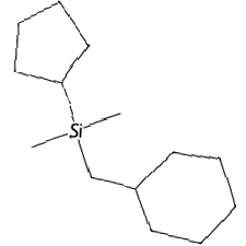 C[Si](C)(CC1CCCCC1)C1CCCC1